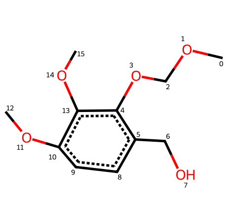 COCOc1c(CO)ccc(OC)c1OC